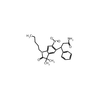 CCCCCN1C(=O)C(C)(C)c2cc(C(CC(N)=O)c3ccccc3)c([N+](=O)[O-])cc21